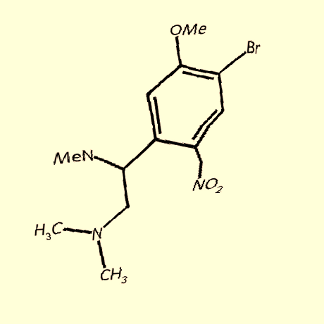 CNC(CN(C)C)c1cc(OC)c(Br)cc1[N+](=O)[O-]